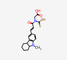 CN1c2ccc(/C=C/C(=O)N(CC(=O)O)C(=S)S)cc2C2CCCCC21